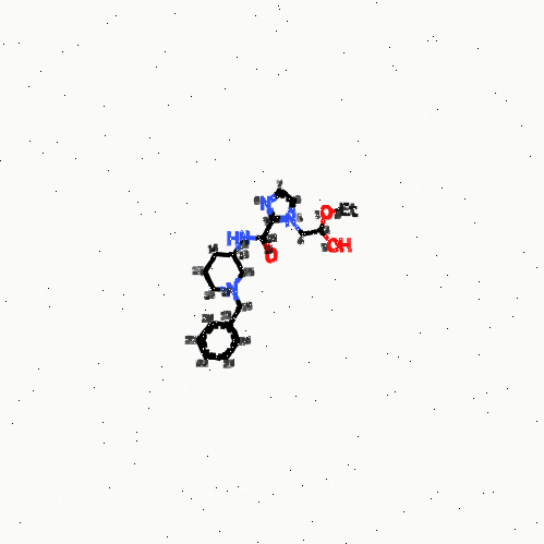 CCOC(O)Cn1ccnc1C(=O)N[C@@H]1CCCN(Cc2ccccc2)C1